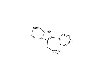 O=C(O)Cc1c(-c2cccnc2)nc2ccccn12